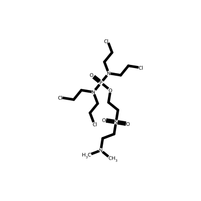 CN(C)CCS(=O)(=O)CCOP(=O)(N(CCCl)CCCl)N(CCCl)CCCl